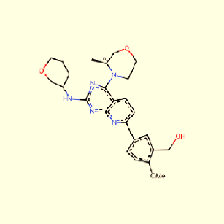 COc1ccc(-c2ccc3c(N4CCOC[C@@H]4C)nc(NC4CCCOC4)nc3n2)cc1CO